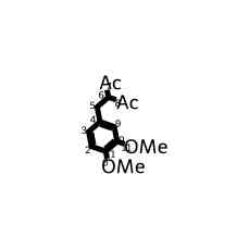 COc1ccc(CC(C(C)=O)C(C)=O)cc1OC